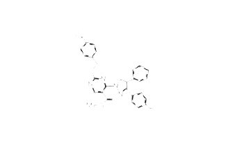 COC(=O)c1cnc(OCc2ccc(Cl)cc2)nc1N1CC(c2ccccc2)C(c2ccc(F)cc2)=N1